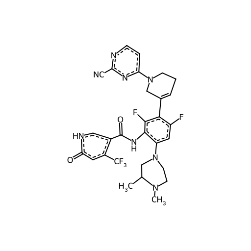 CC1CN(c2cc(F)c(C3=CCCN(c4ccnc(C#N)n4)C3)c(F)c2NC(=O)c2c[nH]c(=O)cc2C(F)(F)F)CCN1C